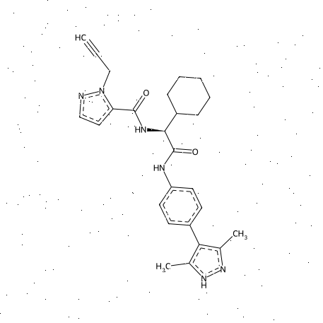 C#CCn1nccc1C(=O)N[C@H](C(=O)Nc1ccc(-c2c(C)n[nH]c2C)cc1)C1CCCCC1